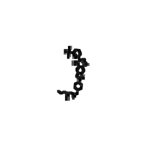 CCCNCN(C)C[C@H]1CC[C@H](n2cc3cc(NC(=O)c4cccc(C(F)(F)F)n4)c(OC)cc3n2)CC1